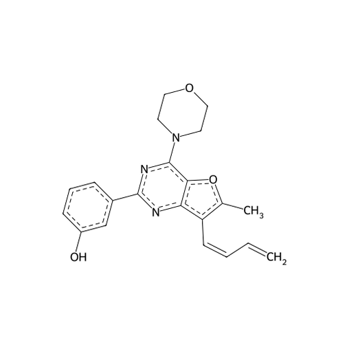 C=C/C=C\c1c(C)oc2c(N3CCOCC3)nc(-c3cccc(O)c3)nc12